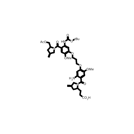 C=C1CC(CCC(=O)O)N(C(=O)c2cc(OC)c(OCCCOc3cc(NC(=O)OC(C)(C)C)c(C(=O)N4CC(=C)CC4COC(C)=O)cc3OC)cc2N)C1